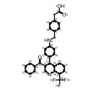 O=C(O)Cc1ccc(CNc2ccc(-c3c(C(=O)c4ccccc4)cnc4c(C(F)(F)F)cccc34)cc2)cc1